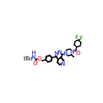 CC1CN(c2nnc(-c3ccc(COC(=O)NC(C)(C)C)cc3)c3ccncc23)CCN1C(=O)C1CCC(F)(F)CC1